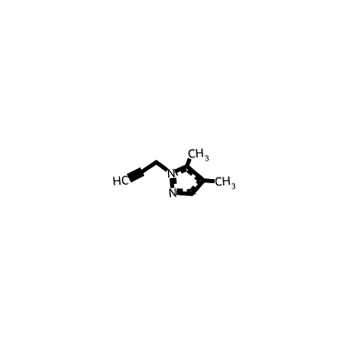 C#CCn1n[c]c(C)c1C